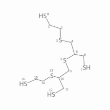 SCCSCC(CS)SCC(CS)SCCS